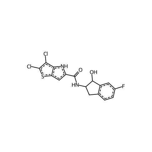 O=C(NC1Cc2ccc(F)cc2C1O)c1cc2sc(Cl)c(Cl)c2[nH]1